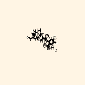 CCCCC1(n2ccnc2)CCC(C(=O)Nc2cc(F)c(C)cc2C(N)=O)=NN1